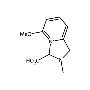 COc1cccc2[n+]1C(C(=O)O)N(C)C2